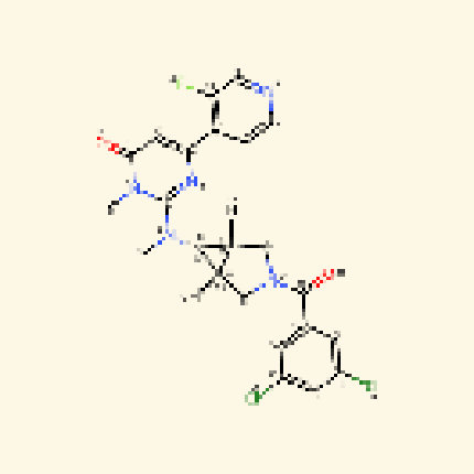 CN(c1nc(-c2ccncc2F)cc(=O)n1C)[C@@H]1[C@@H]2CN(C(=O)c3cc(Cl)cc(Cl)c3)C[C@@H]21